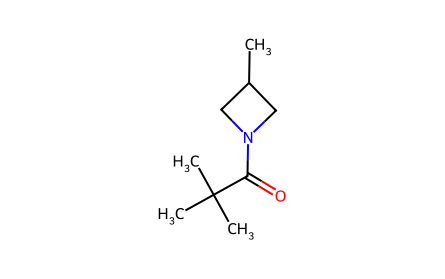 CC1CN(C(=O)C(C)(C)C)C1